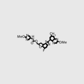 COc1cnc2c(-c3nc4cc(F)c5c(c4s3)CC(COC(=O)Nc3cnc(OC)nc3)O5)cc(C)cc2n1